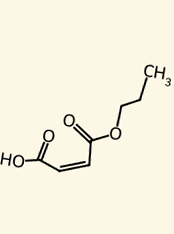 CCCOC(=O)/C=C\C(=O)O